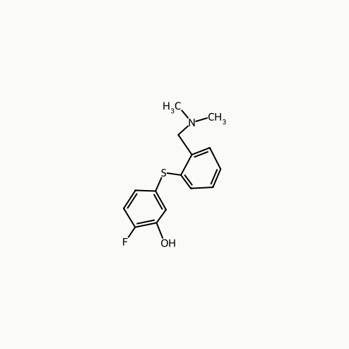 CN(C)Cc1ccccc1Sc1ccc(F)c(O)c1